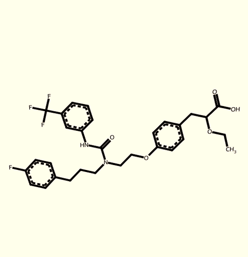 CCOC(Cc1ccc(OCCN(CCCc2ccc(F)cc2)C(=O)Nc2cccc(C(F)(F)F)c2)cc1)C(=O)O